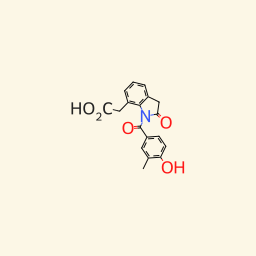 Cc1cc(C(=O)N2C(=O)Cc3cccc(CC(=O)O)c32)ccc1O